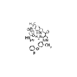 Cc1cc2cc(C(=O)c3cnn(-c4ccc(Oc5ccccc5F)cc4C)c3N)[nH]c2cc1NS(=O)(=O)CC(=O)NC(C)C